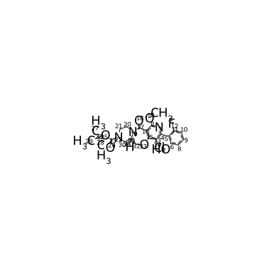 COc1nc(-c2c(O)cccc2F)c(Cl)c2c1C(=O)N1CCN(C(=O)OC(C)(C)C)C[C@@H]1CO2